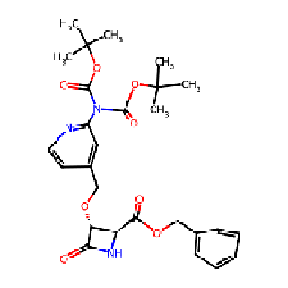 CC(C)(C)OC(=O)N(C(=O)OC(C)(C)C)c1cc(CO[C@H]2C(=O)N[C@@H]2C(=O)OCc2ccccc2)ccn1